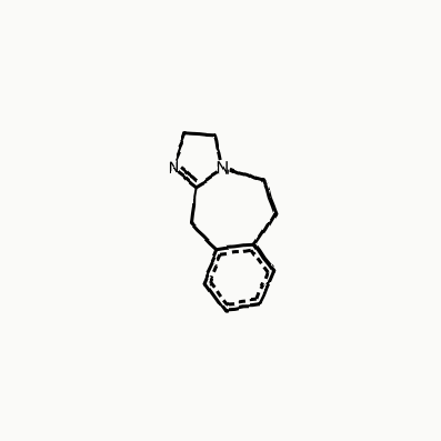 c1ccc2c(c1)CCN1CCN=C1C2